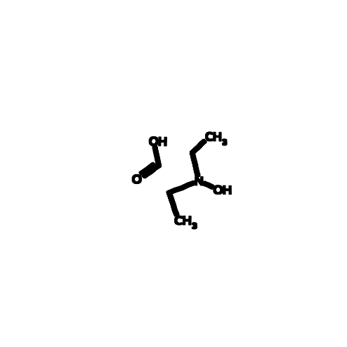 CCN(O)CC.O=CO